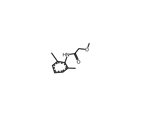 COCC(=O)Nc1c(C)cccc1C